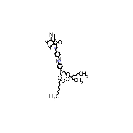 CCCCCCCC(=O)OCCN(CCOC(=O)C(CC)CCCC)c1ccc(/N=N/c2ccc(/C=C/C3=C(C#N)C(=C(C#N)C#N)NC3=O)cc2)cc1